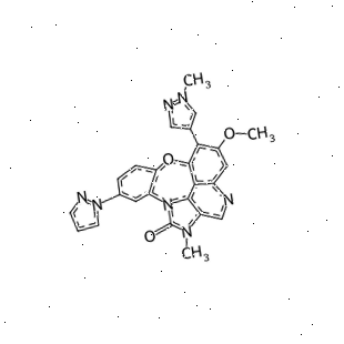 COc1cc2ncc3c4c2c(oc2ccc(-n5cccn5)cc2n4c(=O)n3C)c1-c1cnn(C)c1